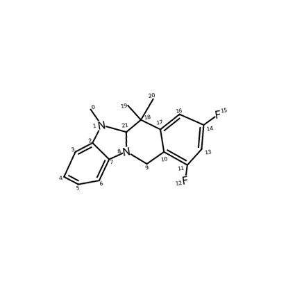 CN1c2ccccc2N2Cc3c(F)cc(F)cc3C(C)(C)C12